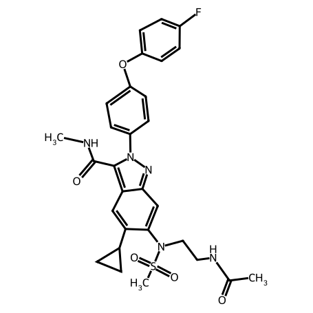 CNC(=O)c1c2cc(C3CC3)c(N(CCNC(C)=O)S(C)(=O)=O)cc2nn1-c1ccc(Oc2ccc(F)cc2)cc1